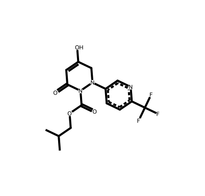 CC(C)COC(=O)N1C(=O)C=C(O)CN1c1ccc(C(F)(F)F)nc1